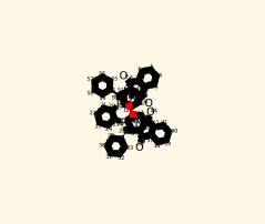 O=c1c2ccccc2c(=O)n2n1[C@@H](c1ccccc1)P(c1ccccc1P1[C@@H](c3ccccc3)n3c(=O)c4ccccc4c(=O)n3[C@@H]1c1ccccc1)[C@H]2c1ccccc1